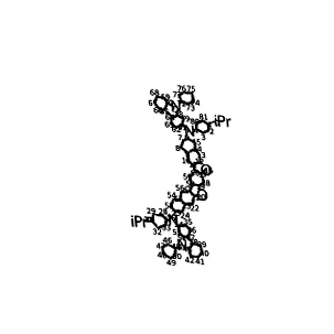 CC(C)c1ccc(N(c2ccc3cc4c(cc3c2)oc2cc3oc5cc6cc(N(c7ccc(C(C)C)cc7)c7ccc8c9ccccc9n(-c9ccccc9)c8c7)ccc6cc5c3cc24)c2ccc3c4ccccc4n(-c4ccccc4)c3c2)cc1